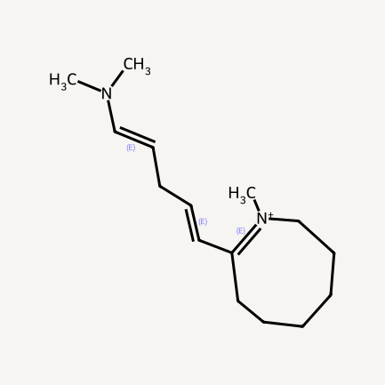 CN(C)/C=C/C/C=C/C1=[N+](\C)CCCCCC1